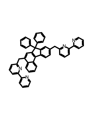 c1ccc(C2(c3ccccc3)c3cc(Cc4cccc(-c5ccccn5)n4)ccc3-c3c2cc(Cc2cccc(-c4ccccn4)n2)c2ccccc32)cc1